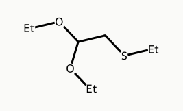 CCOC(CSCC)OCC